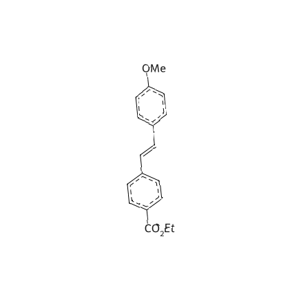 CCOC(=O)c1ccc(C=Cc2ccc(OC)cc2)cc1